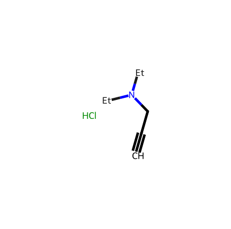 C#CCN(CC)CC.Cl